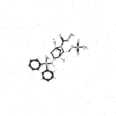 CC(C)(C)OC(=O)N1[C@H]2C[C@@H]([C@H]1COS(C)(=O)=O)[C@H](O[Si](c1ccccc1)(c1ccccc1)C(C)(C)C)C2